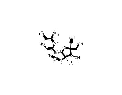 C#C[C@]1(CO)O[C@@H](NC(=N/O)/N=C(/N)C=N)[C@](C)(N=[N+]=[N-])[C@@H]1O